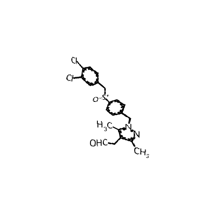 Cc1nn(Cc2ccc([S+]([O-])Cc3ccc(Cl)c(Cl)c3)cc2)c(C)c1CC=O